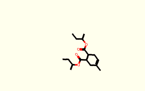 CCC(C)OC(=O)C1CC=C(C)CC1C(=O)OC(C)CC